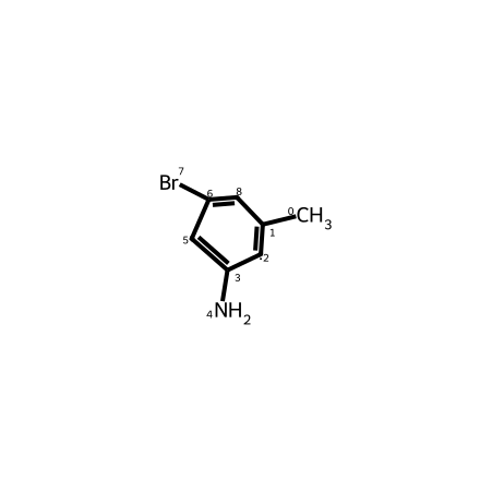 Cc1[c]c(N)cc(Br)c1